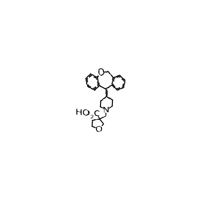 O=C(O)C1(CN2CCC(=C3c4ccccc4COc4ccccc43)CC2)CCOC1